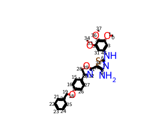 COc1cc(Nc2nc(N)c(C3=N[C@@H](c4ccc(OCc5ccccc5)cc4)CO3)s2)cc(OC)c1OC